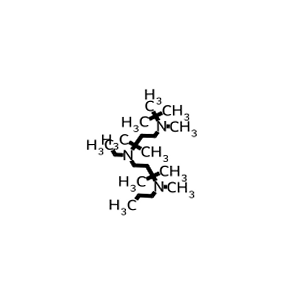 CCCN(C)C(C)(C)CCN(CC)C(C)(C)CCN(C)C(C)(C)C